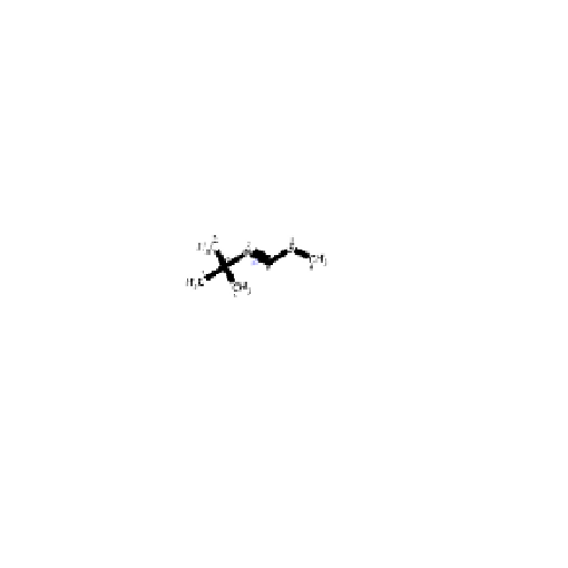 CS/C=N/C(C)(C)C